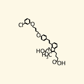 Cc1c(CCCC(=O)O)c2cccc(C=Cc3ccc(OCC=CCOc4cccc(Cl)c4)cc3)c2n1CC(=O)O